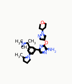 CC(c1cc(-c2cnc(N)c(Oc3cnn(C4CCOCC4)c3)n2)cc(N2CCCC2C)c1)N(C)C